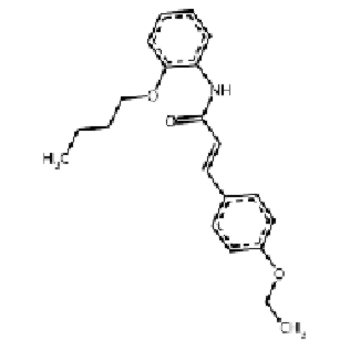 CCCCOc1ccccc1NC(=O)/C=C/c1ccc(OCC)cc1